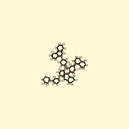 c1ccc(-c2cccc(-c3ccc(N(c4ccc(-c5cc6ccccc6c6ccccc56)cc4)c4cc(-c5cccc6ccccc56)ccc4-c4cccc5ccccc45)cc3)c2)cc1